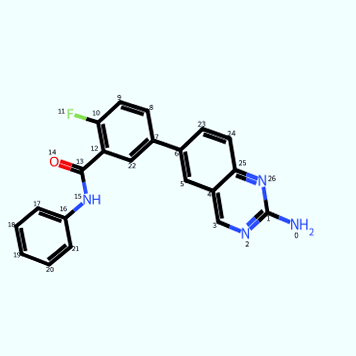 Nc1ncc2cc(-c3ccc(F)c(C(=O)Nc4ccccc4)c3)ccc2n1